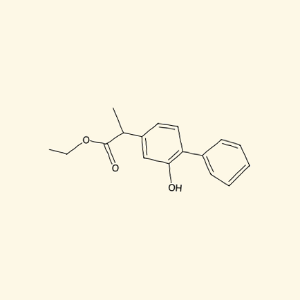 CCOC(=O)C(C)c1ccc(-c2ccccc2)c(O)c1